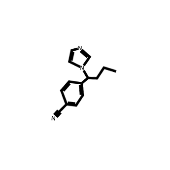 CCCC(c1ccc(C#N)cc1)n1ccnc1